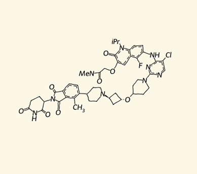 CNC(=O)COc1cc2c(F)c(Nc3nc(N4CCC(O[C@H]5C[C@H](N6CCC(c7ccc8c(c7C)C(=O)N(C7CCC(=O)NC7=O)C8=O)CC6)C5)CC4)ncc3Cl)ccc2n(C(C)C)c1=O